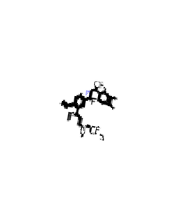 C=Cc1ccc(/C(F)=C/C(c2ccc(C)c(C)c2)C(F)(F)F)cc1C(F)CCN(C)CC(F)(F)F